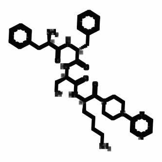 CC(C)C[C@@H](NC(=O)[C@@H](Cc1ccccc1)NC(=O)[C@H](N)Cc1ccccc1)C(=O)N[C@H](CCCCN)C(=O)N1CCN(c2cnccn2)CC1